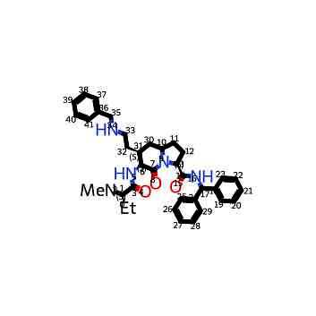 CC[C@H](NC)C(=O)N[C@@H]1C(=O)N2C(CC[C@H]2C(=O)NC(c2ccccc2)c2ccccc2)C[C@@H]1CCNCc1ccccc1